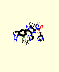 Cn1ccc(-c2nc(NC(=O)OCc3cncnc3)c(C#N)nc2-c2cc(Cl)c3[nH]ncc3c2)n1